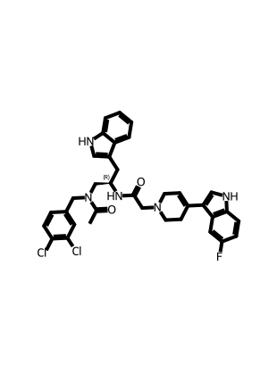 CC(=O)N(Cc1ccc(Cl)c(Cl)c1)C[C@@H](Cc1c[nH]c2ccccc12)NC(=O)CN1CC=C(c2c[nH]c3ccc(F)cc23)CC1